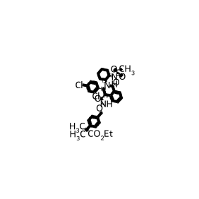 CCOC(=O)C(C)(C)c1ccc(CONC(=O)[C@@H]2c3ccccc3C(=O)N([C@H]3CCCC[C@@H]3NS(C)(=O)=O)[C@H]2c2ccc(Cl)cc2Cl)cc1